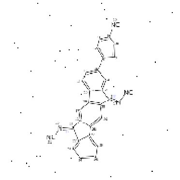 [C-]#[N+]/N=c1\c2cc(-c3ccc([N+]#[C-])cc3)ccc2c2cc3/c(=N/C#N)c4ccccc4c3cc12